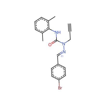 C#CCN(/N=C/c1ccc(Br)cc1)C(=O)Nc1c(C)cccc1C